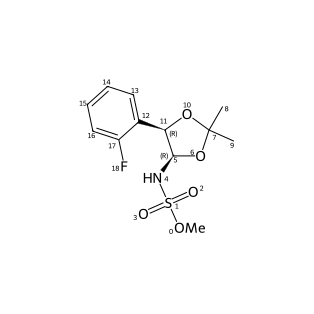 COS(=O)(=O)N[C@@H]1OC(C)(C)O[C@@H]1c1ccccc1F